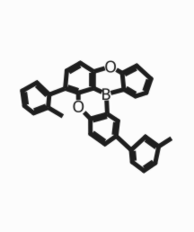 Cc1cccc(-c2ccc3c(c2)B2c4ccccc4Oc4ccc(-c5ccccc5C)c(c42)O3)c1